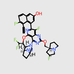 C#Cc1c(F)ccc2cc(O)cc(-c3nc4c5c(nc(OC[C@@]67CCCN6C[C@H](F)C7)nc5c3F)N3C[C@H]5CC[C@H](N5)[C@H]3[C@@H](C(F)F)O4)c12